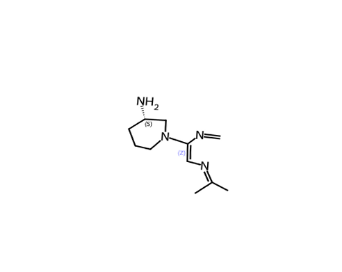 C=N/C(=C\N=C(C)C)N1CCC[C@H](N)C1